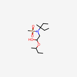 CCC(C)OC(O)CN(C(C)(CC)CC)S(C)(=O)=O